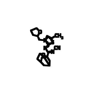 Cc1cn(C[C@H]2CCCO2)/c(=N/C(=NC#N)C23CC4CC(CC(C4)O2)C3)s1